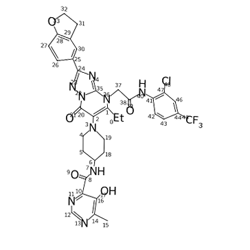 CCc1c(N2CCC(NC(=O)c3ncnc(C)c3O)CC2)c(=O)n2nc(-c3ccc4c(c3)CCO4)nc2n1CC(=O)Nc1ccc(C(F)(F)F)cc1Cl